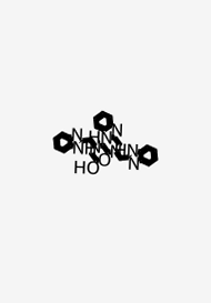 O=C(O)CN(CCN(Cc1nc2ccccc2[nH]1)Cc1nc2ccccc2[nH]1)Cc1nc2ccccc2[nH]1